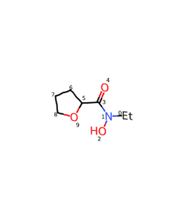 CCN(O)C(=O)C1CCCO1